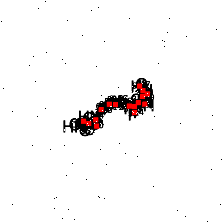 O=C1CCC(N2C(=O)c3cccc(NCCc4ccc(C5CCN(C[C@H]6CC[C@H](n7cc(NC(=O)c8cnn9ccc(N%10C[C@H]%11C[C@@H]%10CO%11)nc89)c(C(F)F)n7)CC6)CC5)cc4)c3C2=O)C(=O)N1